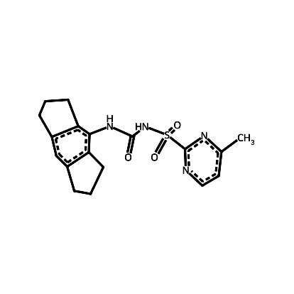 Cc1ccnc(S(=O)(=O)NC(=O)Nc2c3c(cc4c2CCC4)CCC3)n1